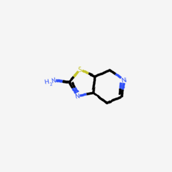 NC1=NC2CC=NCC2S1